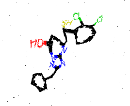 Oc1cc(C(S)c2cccc(Cl)c2Cl)nc2nc(Cc3ccccc3)nn12